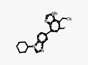 N#CCc1c(F)cc(-c2ccc3c(c2)ncn3C2CCCCC2)c2nc[nH]c12